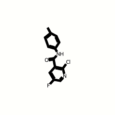 Cc1ccc(NC(=O)c2cc(F)cnc2Cl)cc1